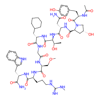 CNC(=N)NCCC[C@H](NC(=O)[C@H](COC)NC(=O)CNC(=O)[C@H](CC1CCCCC1)NC(=O)[C@@H](NC(=O)[C@H](CC(N)=O)NC(=O)[C@@H]1C[C@@H](O)CN1C(=O)[C@@H](Cc1ccc(O)cc1)NC(C)=O)[C@@H](C)O)C(=O)N[C@@H](Cc1c[nH]c2ccccc12)C(N)=O